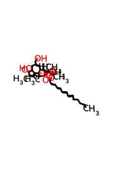 CCCCC/C=C/C=C/C=C/C=C/C(=O)O[C@@H]1[C@@H](C)[C@@]2(O)[C@@H](C=C(CO)C[C@]3(O)C(=O)C(C)=C[C@@H]23)[C@@H]2C(C)(C)[C@]12OC(C)=O